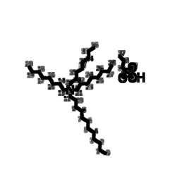 CCCCCCCCCCCC[N+](CCCCCCCC)(CCCCCCCC)CCCCCCCC.CCCS(=O)(=O)O